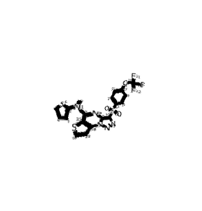 CN(c1cccs1)c1nc2c(S(=O)(=O)c3ccc(OC(F)(F)F)cc3)nnn2c2ccsc12